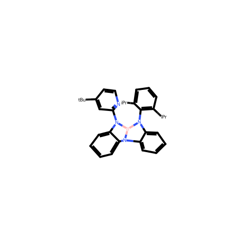 CC(C)c1cccc(C(C)C)c1N1B2N(c3cc(C(C)(C)C)ccn3)c3ccccc3N2c2ccccc21